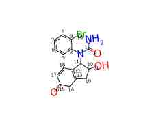 NC(=O)N(c1ccccc1Br)C1C2=C(CC(=O)C=C2)CC1O